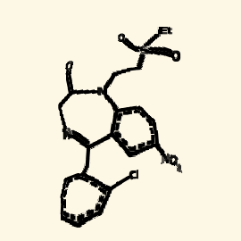 CCS(=O)(=O)CCN1C(=O)CN=C(c2ccccc2Cl)c2cc([N+](=O)[O-])ccc21